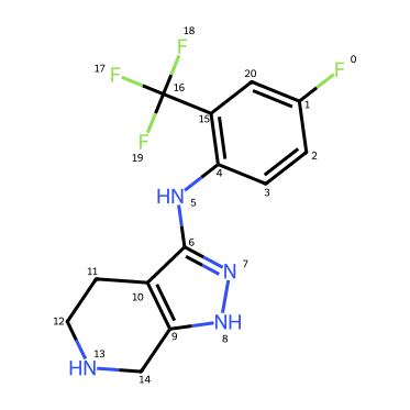 Fc1ccc(Nc2n[nH]c3c2CCNC3)c(C(F)(F)F)c1